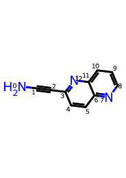 NC#Cc1ccc2ncccc2n1